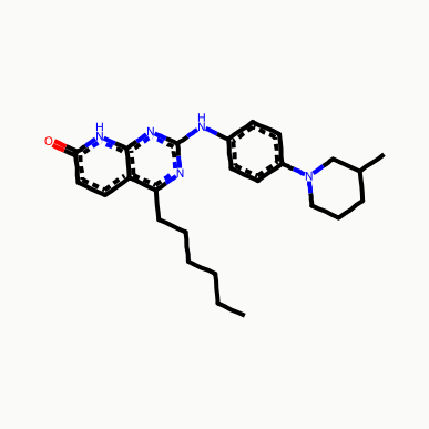 CCCCCCc1nc(Nc2ccc(N3CCCC(C)C3)cc2)nc2[nH]c(=O)ccc12